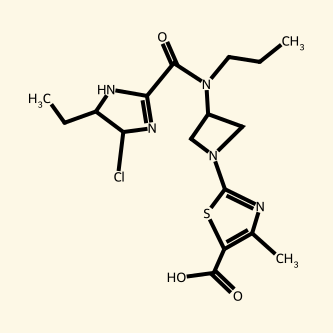 CCCN(C(=O)C1=NC(Cl)C(CC)N1)C1CN(c2nc(C)c(C(=O)O)s2)C1